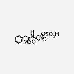 COC1(NC(=O)Cc2ccccc2)C[N+]([O-])(OS(=O)(=O)O)C1